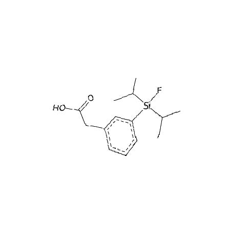 CC(C)[Si](F)(c1cccc(CC(=O)O)c1)C(C)C